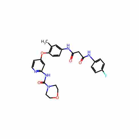 Cc1cc(NC(=O)CC(=O)Nc2ccc(F)cc2)ccc1Oc1ccnc(NC(=O)N2CCOCC2)c1